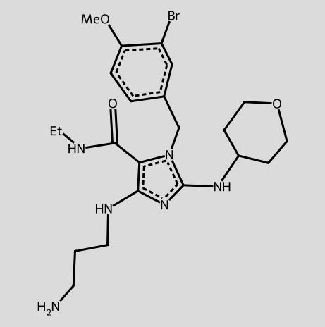 CCNC(=O)c1c(NCCCN)nc(NC2CCOCC2)n1Cc1ccc(OC)c(Br)c1